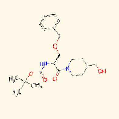 CC(C)(C)OC(=O)N[C@@H](COCc1ccccc1)C(=O)N1CCC(CO)CC1